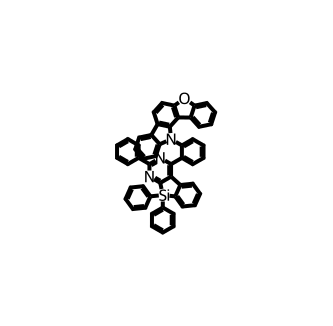 c1ccc(-c2nc(-c3ccccc3-n3c4ccccc4c4ccc5oc6ccccc6c5c43)c3c(n2)[Si](c2ccccc2)(c2ccccc2)c2ccccc2-3)cc1